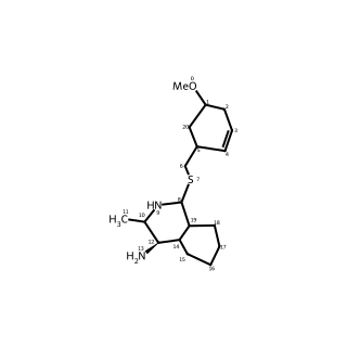 COC1CC=CC(CSC2NC(C)[C@H](N)C3CCCCC23)C1